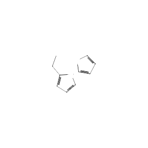 CCc1ccco1.c1ccsc1